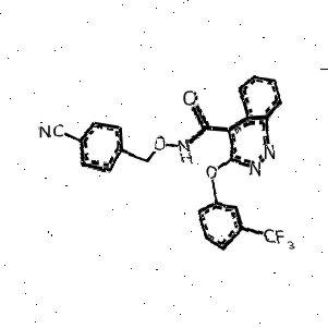 N#Cc1ccc(CONC(=O)c2c(Oc3cccc(C(F)(F)F)c3)nnc3ccccc23)cc1